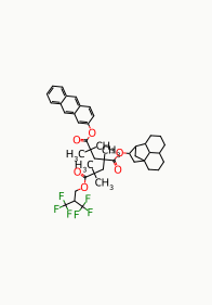 CC(C)(CC(C)(CC(C)(C)C(=O)Oc1ccc2cc3ccccc3cc2c1)C(=O)OC1CC23CCCC4CCCC(C1C2)C43)C(=O)OCC(C(F)(F)F)C(F)(F)F